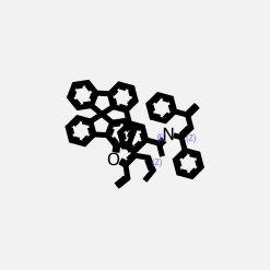 C=Cc1oc2c3c(ccc2c1/C=C\C)C1(c2ccccc2-c2cccc(-c4cccc(/C(C)=N/C(=C\C(=C)c5ccccc5)c5ccccc5)c4)c21)c1ccccc1-3